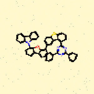 c1ccc(-c2nc(-c3ccccc3)nc(-c3cccc4sc5ccc(-c6cccc7c6oc6c(-n8c9ccccc9c9ccccc98)cccc67)cc5c34)n2)cc1